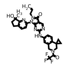 C=CCn1c(=O)c2cnc(Nc3ccc4c(c3)CN(C(=O)C(F)(F)F)CC43CC3)nc2n1-c1ccc2c(n1)C(C)(O)CC2